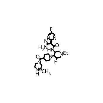 CCN1CC(F)C(N2CCC(C(=O)N3CCN[C@@H](C)C3)CC2)C(NC(=O)c2c(N)nn3cc(F)cnc23)C1